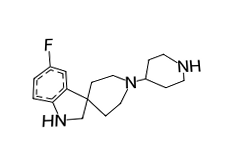 Fc1ccc2c(c1)C1(CCN(C3CCNCC3)CC1)CN2